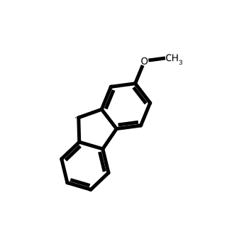 COc1ccc2c(c1)[CH]c1ccccc1-2